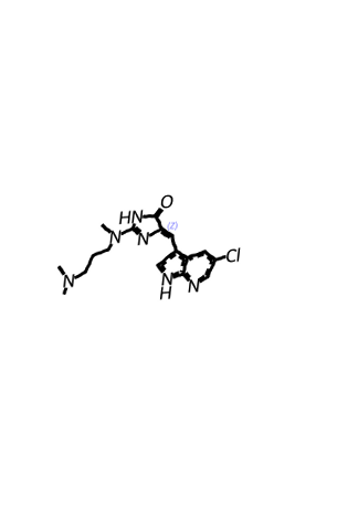 CN(C)CCCN(C)C1=N/C(=C\c2c[nH]c3ncc(Cl)cc23)C(=O)N1